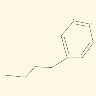 CCCCc1[c][c][c]cc1